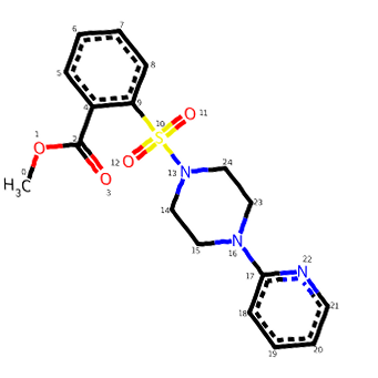 COC(=O)c1ccccc1S(=O)(=O)N1CCN(c2ccccn2)CC1